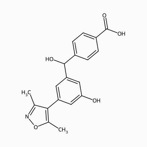 Cc1noc(C)c1-c1cc(O)cc(C(O)c2ccc(C(=O)O)cc2)c1